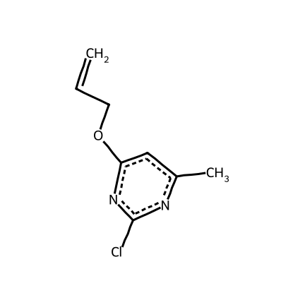 C=CCOc1cc(C)nc(Cl)n1